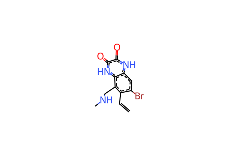 C=Cc1c(Br)cc2[nH]c(=O)c(=O)[nH]c2c1CNC